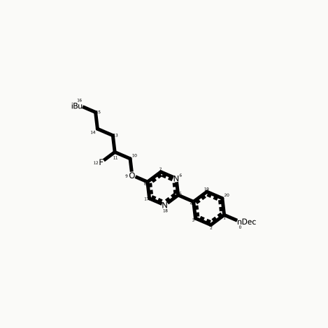 CCCCCCCCCCc1ccc(-c2ncc(OCC(F)CCCC(C)CC)cn2)cc1